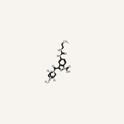 CCCNC(=O)Nc1ccc2[nH]nc(C(=O)N3C[C@@H]4C[C@H]3CN4C)c2c1.O=CO